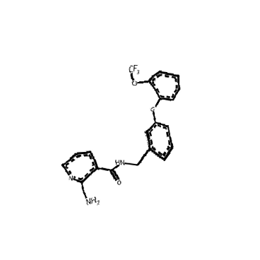 Nc1ncccc1C(=O)NCc1cccc(Oc2ccccc2OC(F)(F)F)c1